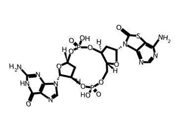 Nc1nc2c(ncn2[C@@H]2O[C@H]3C[C@@H]2OP(=O)(O)OC[C@H]2O[C@@H](n4c(=O)sc5c(N)ncnc54)C[C@@H]2OP(=O)(O)O3)c(=O)[nH]1